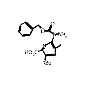 Cc1cc(C(C)(C)C)c(C(=O)O)nc1N(N)C(=O)OCc1ccccc1